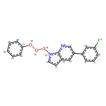 Fc1cccc(-c2cnc3c(ccn3SOOc3ccccc3)c2)c1